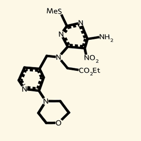 CCOC(=O)CN(Cc1ccnc(N2CCOCC2)c1)c1nc(SC)nc(N)c1[N+](=O)[O-]